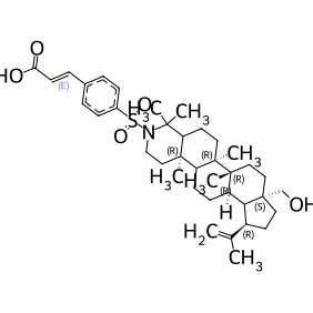 C=C(C)[C@@H]1CC[C@]2(CO)CC[C@]3(C)[C@H](CCC4[C@@]5(C)CCN(S(=O)(=O)c6ccc(/C=C/C(=O)O)cc6)C(C)(C)C5CC[C@]43C)C12